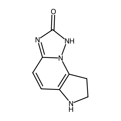 O=c1nc2ccc3c(n2[nH]1)CCN3